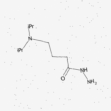 CC(C)N(CCCC(=O)NN)C(C)C